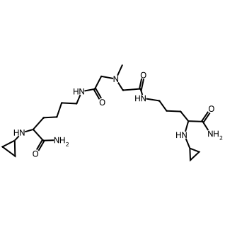 CN(CC(=O)NCCCCC(NC1CC1)C(N)=O)CC(=O)NCCCC(NC1CC1)C(N)=O